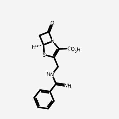 N=C(NCC1=C(C(=O)O)N2C(=O)C[C@@H]2S1)c1ccccc1